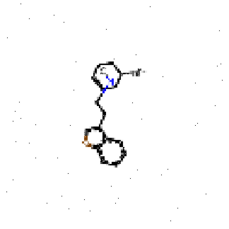 CCCC1CC2C=CC1N(CCc1csc3ccccc13)C2